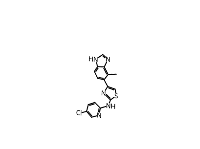 Cc1c(-c2csc(Nc3ccc(Cl)cn3)n2)ccc2[nH]cnc12